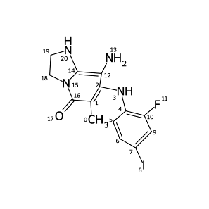 Cc1c(Nc2ccc(I)cc2F)c(N)c2n(c1=O)CCN2